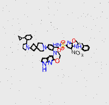 O=C(NS(=O)(=O)c1cc([N+](=O)[O-])c2c(n1)OC[C@H](Cc1ccccc1)N2)c1ccc(N2CCC3(CC2)CC(N2CCCC2c2ccccc2C2CC2)C3)cc1N1CCCOc2nc3[nH]ccc3cc21